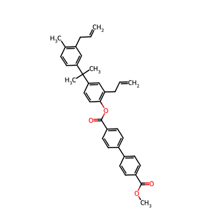 C=CCc1cc(C(C)(C)c2ccc(OC(=O)c3ccc(-c4ccc(C(=O)OC)cc4)cc3)c(CC=C)c2)ccc1C